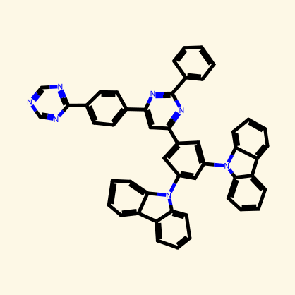 c1ccc(-c2nc(-c3ccc(-c4ncncn4)cc3)cc(-c3cc(-n4c5ccccc5c5ccccc54)cc(-n4c5ccccc5c5ccccc54)c3)n2)cc1